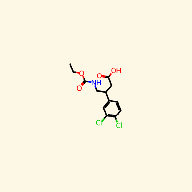 CCOC(=O)NCC(CC(=O)O)c1ccc(Cl)c(Cl)c1